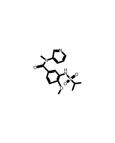 COc1ccc(C(=O)N(C)c2cccnc2)cc1NS(=O)(=O)C(C)C